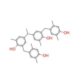 Cc1cc(Cc2cc(C(C)c3cc(C)c(O)c(Cc4cc(C)c(O)cc4C)c3)cc(C)c2O)c(C)cc1O